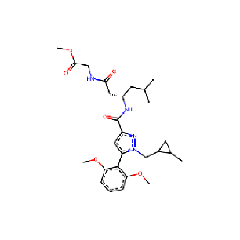 COC(=O)CNC(=O)C[C@H](CC(C)C)NC(=O)c1cc(-c2c(OC)cccc2OC)n(CC2CC2C)n1